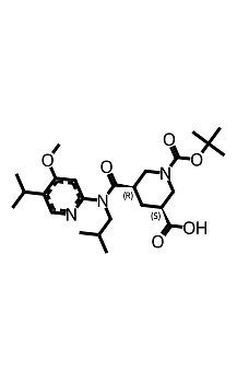 COc1cc(N(CC(C)C)C(=O)[C@@H]2C[C@H](C(=O)O)CN(C(=O)OC(C)(C)C)C2)ncc1C(C)C